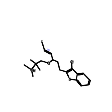 C[SiH](C)C(C)(C)COC(/C=C/I)CCc1sc2ccccc2c1Cl